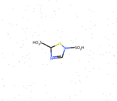 O=S(=O)(O)C1N=CN(S(=O)(=O)O)S1